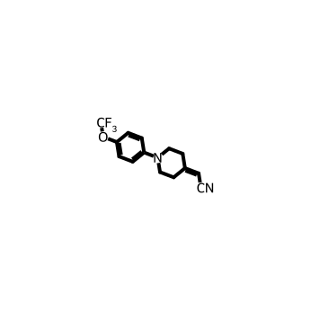 N#CC=C1CCN(c2ccc(OC(F)(F)F)cc2)CC1